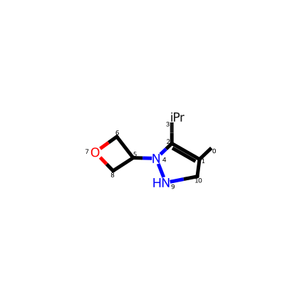 CC1=C(C(C)C)N(C2COC2)NC1